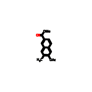 COC(=O)c1ccc2cc(OC(C)=O)c(C)cc2c1